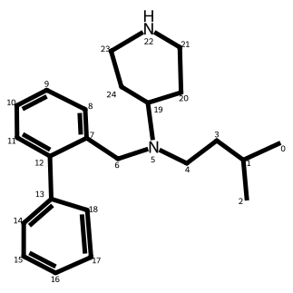 CC(C)CCN(Cc1ccccc1-c1ccccc1)C1CCNCC1